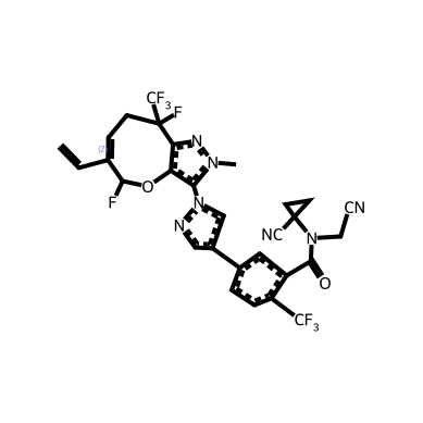 C=C/C1=C/CC(F)(C(F)(F)F)c2nn(C)c(-n3cc(-c4ccc(C(F)(F)F)c(C(=O)N(CC#N)C5(C#N)CC5)c4)cn3)c2OC1F